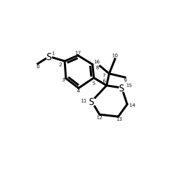 CSc1ccc(C2(C(C)(C)C)SCCCS2)cc1